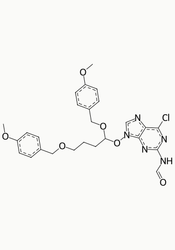 COc1ccc(COCCCC(OCc2ccc(OC)cc2)On2cnc3c(Cl)nc(NC=O)nc32)cc1